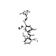 CCN(C)C=Nc1cc(C)c(Cc2c(F)cccc2C(F)(F)F)cc1Cl